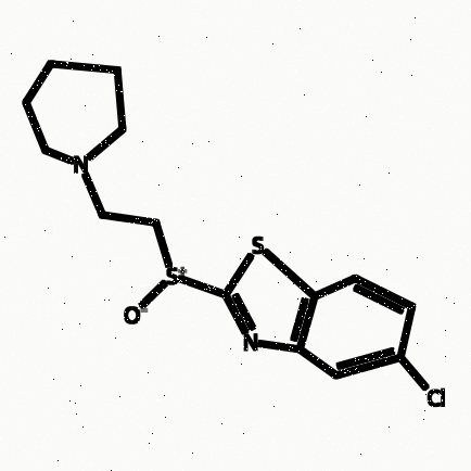 [O-][S+](CCN1CCCCC1)c1nc2cc(Cl)ccc2s1